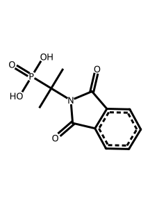 CC(C)(N1C(=O)c2ccccc2C1=O)P(=O)(O)O